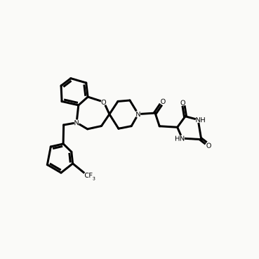 O=C1NC(=O)C(CC(=O)N2CCC3(CC2)CCN(Cc2cccc(C(F)(F)F)c2)c2ccccc2O3)N1